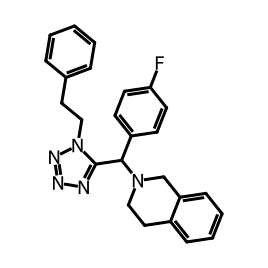 Fc1ccc(C(c2nnnn2CCc2ccccc2)N2CCc3ccccc3C2)cc1